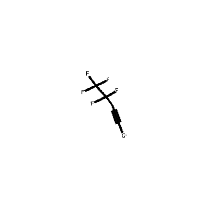 [O]C#CC(F)(F)C(F)(F)F